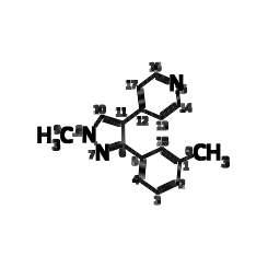 Cc1cccc(-c2nn(C)cc2-c2ccncc2)c1